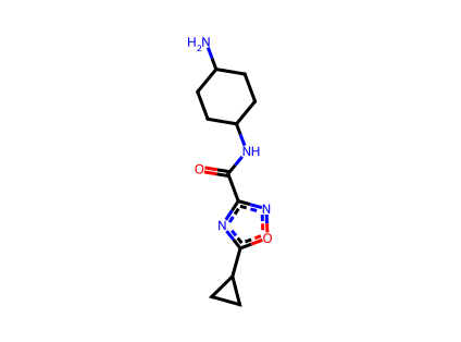 NC1CCC(NC(=O)c2noc(C3CC3)n2)CC1